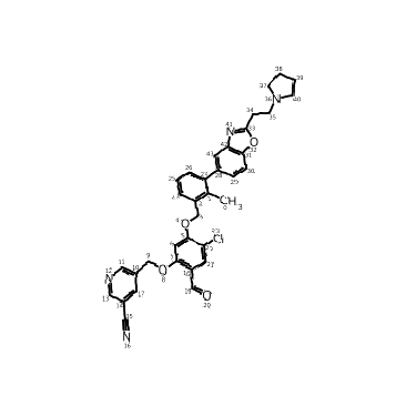 Cc1c(COc2cc(OCc3cncc(C#N)c3)c(C=O)cc2Cl)cccc1-c1ccc2oc(CCN3CCCC3)nc2c1